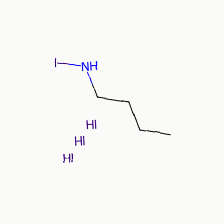 CCCCNI.I.I.I